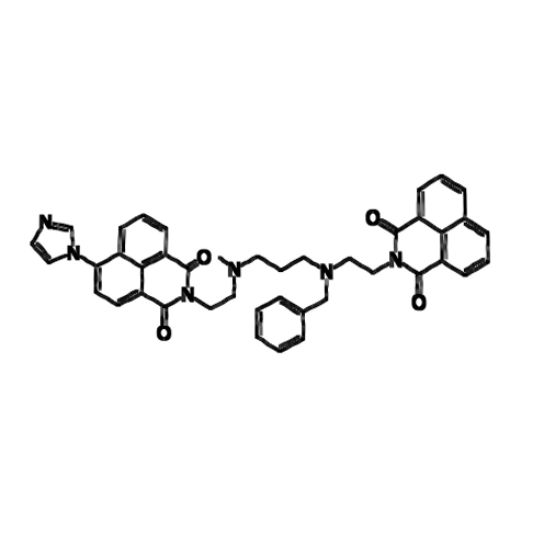 CN(CCCN(CCN1C(=O)c2cccc3cccc(c23)C1=O)Cc1ccccc1)CCN1C(=O)c2cccc3c(-n4ccnc4)ccc(c23)C1=O